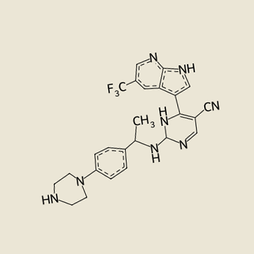 CC(NC1N=CC(C#N)=C(c2c[nH]c3ncc(C(F)(F)F)cc23)N1)c1ccc(N2CCNCC2)cc1